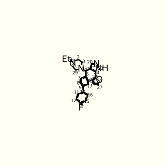 CCN1CCN(C(c2ccc(-c3ccc(F)cc3)cc2)c2cn[nH]c2-c2ccco2)CC1